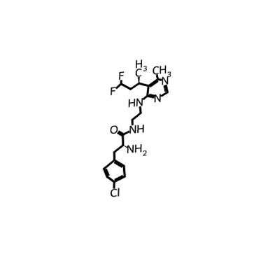 Cc1ncnc(NCCNC(=O)[C@H](N)Cc2ccc(Cl)cc2)c1[C@H](C)CC(F)F